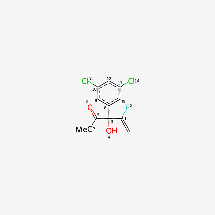 C=C(F)C(O)(C(=O)OC)c1cc(Cl)cc(Cl)c1